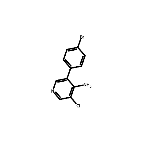 Nc1c(Cl)cncc1-c1ccc(Br)cc1